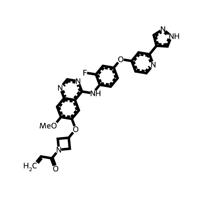 C=CC(=O)N1CC(Oc2cc3c(Nc4ccc(Oc5ccnc(-c6cn[nH]c6)c5)cc4F)ncnc3cc2OC)C1